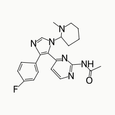 CC(=O)Nc1nccc(-c2c(-c3ccc(F)cc3)ncn2C2CCCCN2C)n1